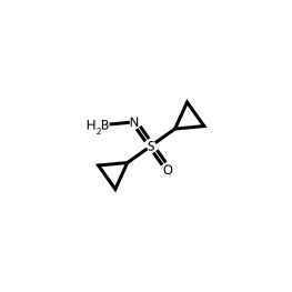 BN=S(=O)(C1CC1)C1CC1